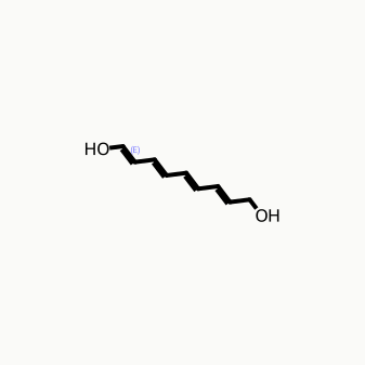 O/C=C/C=CC=CC=CCO